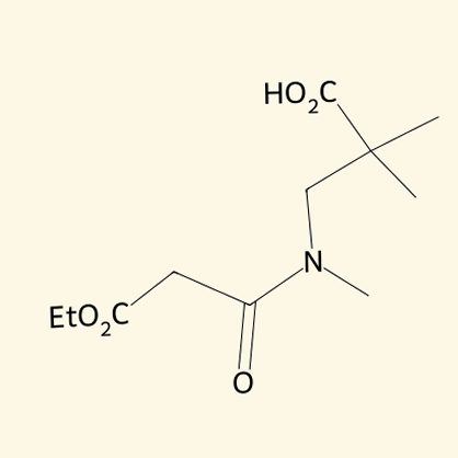 CCOC(=O)CC(=O)N(C)CC(C)(C)C(=O)O